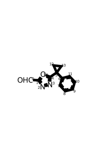 O=Cc1nnc(C2(c3ccccc3)CC2)o1